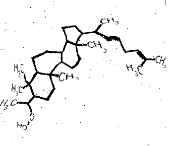 CC(C)=CCCCC(C)C1CCC2C3CCC4C(C)(C)C(C(C)OO)CCC4(C)C3CCC12C